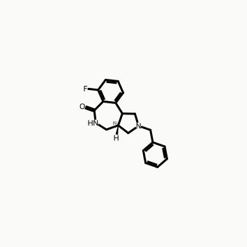 O=C1NC[C@H]2CN(Cc3ccccc3)CC2c2cccc(F)c21